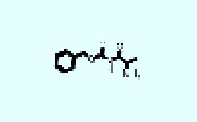 CC(N)C(=O)NC(=O)OCc1ccccc1